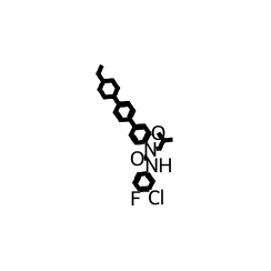 CCC1CCC(c2ccc(-c3ccc4c(c3)OC(C)CN4C(=O)Nc3ccc(F)c(Cl)c3)cc2)CC1